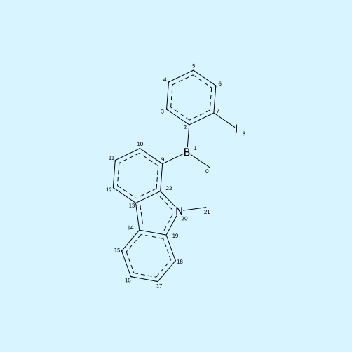 CB(c1ccccc1I)c1cccc2c3ccccc3n(C)c12